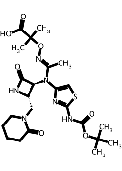 CC(=NOC(C)(C)C(=O)O)N(c1csc(NC(=O)OC(C)(C)C)n1)[C@@H]1C(=O)N[C@H]1CN1CCCCC1=O